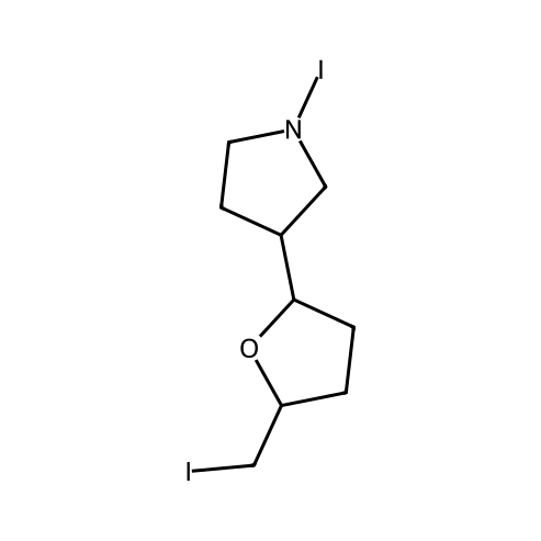 ICC1CCC(C2CCN(I)C2)O1